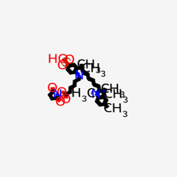 Cc1ccc2c(c1)C(C)(C)C(/C=C/C=C/C=C1\N(CCCCCC(=O)ON3C(=O)CCC3=O)c3ccc(S(=O)(=O)O)cc3C1(C)C)=[N+]2C